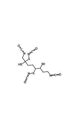 O=C=NCCC(S)C(CCC(S)(CN=C=O)SN=C=O)SN=C=O